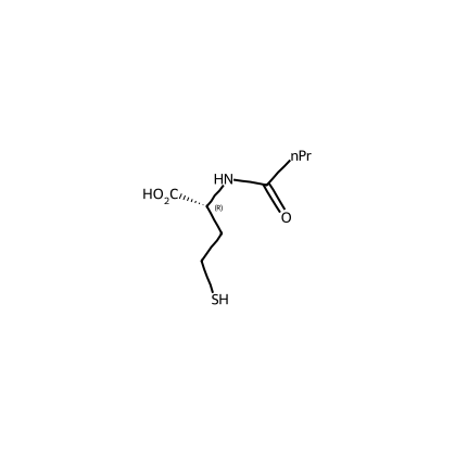 CCCC(=O)N[C@H](CCS)C(=O)O